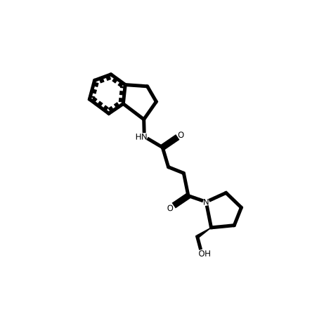 O=C(CCC(=O)N1CCC[C@H]1CO)NC1CCc2ccccc21